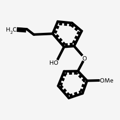 C=CCc1cccc(Oc2ccccc2OC)c1O